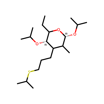 CCC1O[C@H](OC(C)C)C(C)C(CCCSC(C)C)[C@@H]1OC(C)C